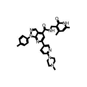 Cc1ccc(-n2ncc3c(C(=O)NCc4c(C)cc(C)[nH]c4=O)cc(-c4ccc(N5CCN(C)CC5)nc4)nc32)cc1